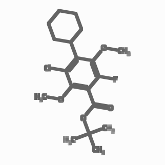 COc1c(Cl)c(C2CCCCC2)c(OC)c(F)c1C(=O)OC(C)(C)C